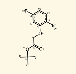 CC(C)(C)OC(=O)COc1cc(F)ccc1Br